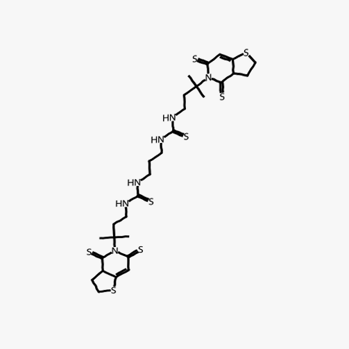 CC(C)(CCNC(=S)NCCCNC(=S)NCCC(C)(C)N1C(=S)C=C2SCCC2C1=S)N1C(=S)C=C2SCCC2C1=S